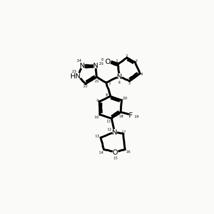 O=c1ccccn1C(c1ccc(N2CCOCC2)c(F)c1)c1c[nH]nn1